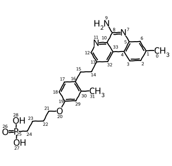 Cc1ccc2c(c1)nc(N)c1ncc(CCc3ccc(OCCCCP(=O)(O)O)cc3C)cc12